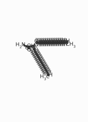 [2H]C(C)C([2H])([2H])C([2H])([2H])C([2H])([2H])C([2H])([2H])C([2H])([2H])C([2H])([2H])C([2H])([2H])C([2H])([2H])C([2H])([2H])C([2H])([2H])C([2H])([2H])C([2H])([2H])C([2H])([2H])C([2H])([2H])C([2H])([2H])C(=O)OC[C@H](COP(=O)(O)OCCN)OC(=O)C([2H])([2H])C([2H])([2H])C([2H])([2H])C([2H])([2H])C([2H])([2H])C([2H])([2H])C([2H])([2H])C([2H])([2H])C([2H])([2H])C([2H])([2H])C([2H])([2H])C([2H])([2H])C([2H])([2H])C([2H])([2H])C([2H])([2H])C([2H])C